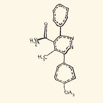 Cc1ccc(-c2nnc(-c3ccccc3)c(C(N)=O)c2C)cc1